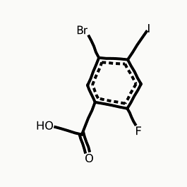 O=C(O)c1cc(Br)c(I)cc1F